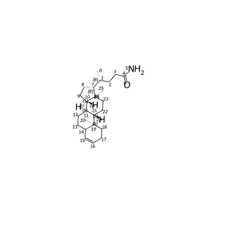 C[C@H](CCC(N)=O)[C@H]1CC[C@H]2[C@@H]3CCC4C=CCC[C@]4(C)[C@H]3CC[C@]12C